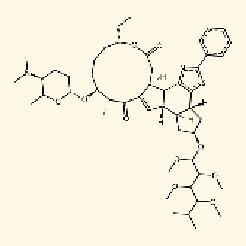 CC[C@H]1CCC[C@H](O[C@H]2CC[C@H](N(C)C)C(C)O2)[C@@H](C)C(=O)C2=C[C@@H]3C(c4nc(-c5ccccc5)sc4[C@@H]4C[C@@H](OC(OC)C(OC)C(OC)C(OC)C(C)C)C[C@@H]34)[C@@H]2CC(=O)O1